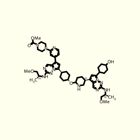 COC[C@H](C)Nc1ncc2c([C@@H]3CCC(O[C@H]4CC[C@H](c5cc(-c6ccnc(N7CCN(C(=O)OC)CC7)c6)c6cnc(N[C@@H](C)COC)nn65)CC4)NC3)cc(C3CCC(O)CC3)n2n1